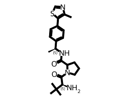 Cc1ncsc1-c1ccc([C@H](C)NC(=O)C2CCCN2C(=O)[C@@H](N)C(C)(C)C)cc1